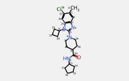 Cc1cc2nc(N3CCC(C(=O)NC4CCCC4)CC3)n(C3CCC3)c2cc1Cl